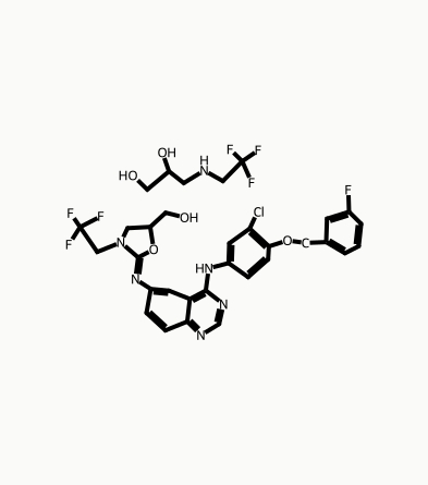 OCC(O)CNCC(F)(F)F.OCC1CN(CC(F)(F)F)C(=Nc2ccc3ncnc(Nc4ccc(OCc5cccc(F)c5)c(Cl)c4)c3c2)O1